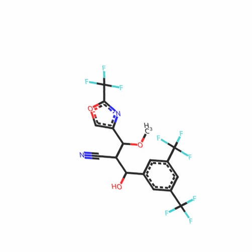 COC(c1coc(C(F)(F)F)n1)C(C#N)C(O)c1cc(C(F)(F)F)cc(C(F)(F)F)c1